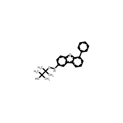 CC(C)(O)C(C)(C)OBc1ccc2oc3c(-c4ccccc4)cccc3c2c1